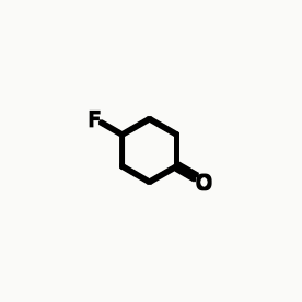 O=C1CCC(F)CC1